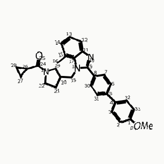 COc1ccc(-c2ccc(-c3nc4cccc(C)c4n3CC3CCN(C(=O)C4CC4)C3)cc2)cc1